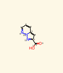 O=C(O)c1cc2cccnn2n1